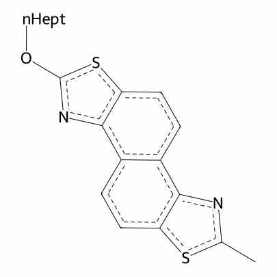 CCCCCCCOc1nc2c(ccc3c2ccc2sc(C)nc23)s1